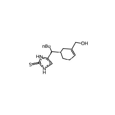 CCCCC(c1c[nH]c(=S)[nH]1)C1CCC=C(CO)C1